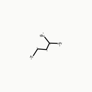 CCCC(CCC(C)=O)C(C)(C)C